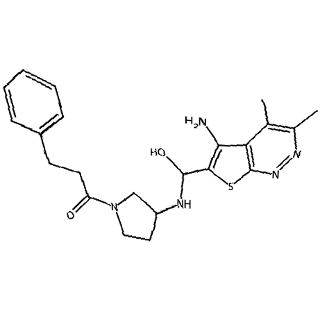 Cc1nnc2sc(C(O)NC3CCN(C(=O)CCc4ccccc4)C3)c(N)c2c1C